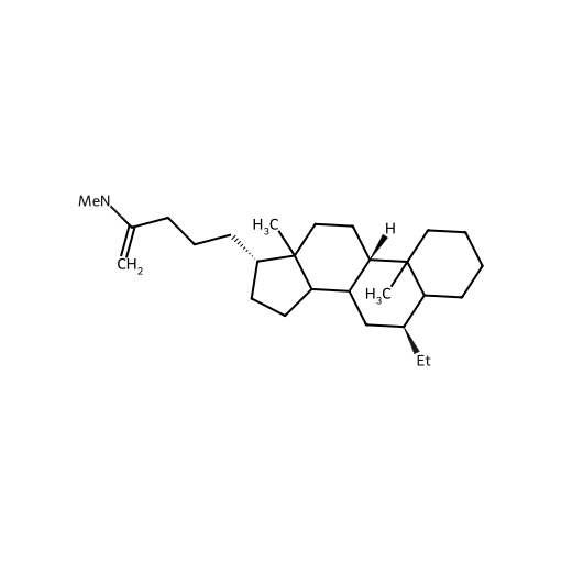 C=C(CCC[C@H]1CCC2C3C[C@H](CC)C4CCCCC4(C)[C@H]3CCC21C)NC